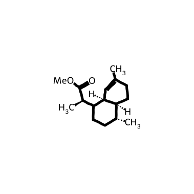 COC(=O)[C@H](C)C1CC[C@@H](C)[C@@H]2CCC(C)=C[C@H]12